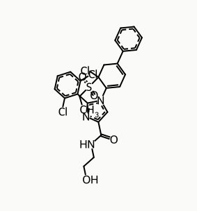 CCS(=O)(=O)C1(Cl)CC(c2ccccc2)=CC=C1n1cc(C(=O)NCCO)nc1-c1c(Cl)cccc1Cl